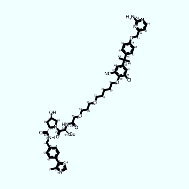 Cc1ncsc1-c1ccc(CNC(=O)[C@@H]2C[C@@H](O)CN2C(=O)[C@@H](NC(=O)COCCCOCCCCCOc2c(Cl)cc(C(C)(C)c3ccc(OCc4ccnc(N)n4)cc3)cc2C#N)C(C)(C)C)cc1